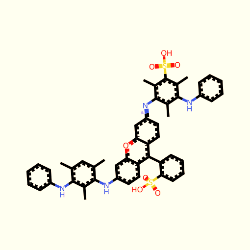 Cc1cc(C)c(Nc2ccc3c(-c4ccccc4S(=O)(=O)O)c4cc/c(=N\c5c(C)c(Nc6ccccc6)c(C)c(S(=O)(=O)O)c5C)cc-4oc3c2)c(C)c1Nc1ccccc1